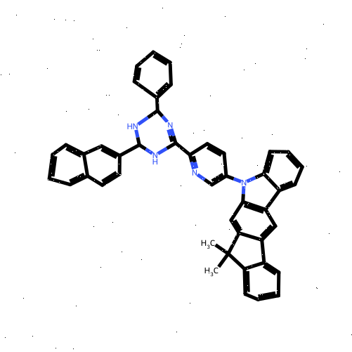 CC1(C)c2ccccc2-c2cc3c4ccccc4n(-c4ccc(C5=NC(c6ccccc6)NC(c6ccc7ccccc7c6)N5)nc4)c3cc21